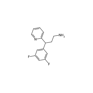 NCCC(c1cc(F)cc(F)c1)c1ccccn1